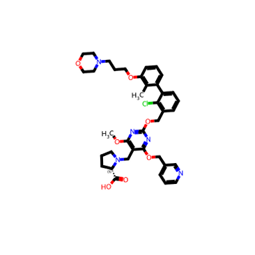 COc1nc(OCc2cccc(-c3cccc(OCCCN4CCOCC4)c3C)c2Cl)nc(OCc2cccnc2)c1CN1CCC[C@H]1C(=O)O